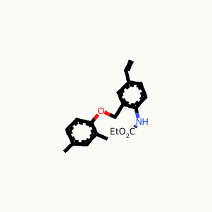 C=Cc1ccc(NC(=O)OCC)c(COc2ccc(C)cc2C)c1